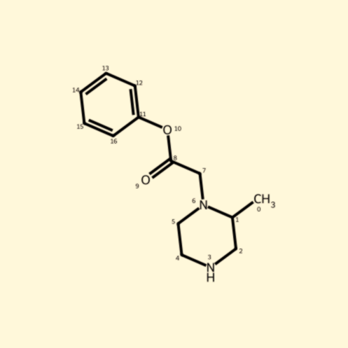 CC1CNCCN1CC(=O)Oc1ccccc1